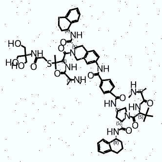 CN[C@@H](C)C(=O)N[C@H](C(=O)N1C[C@@H](NC(=O)c2ccc(C(=O)Nc3ccc4c(c3)CN(C(=O)[C@@H](NC(=O)[C@H](C)NC)C(C)(C)SCC(=O)NC(CO)(CO)CO)[C@H](C(=O)N[C@@H]3CCCc5ccccc53)C4)cc2)C[C@H]1C(=O)N[C@@H]1CCCc2ccccc21)C(C)(C)C